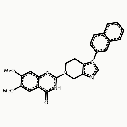 COc1cc2nc(N3CCc4c(ncn4-c4ccc5ccccc5c4)C3)[nH]c(=O)c2cc1OC